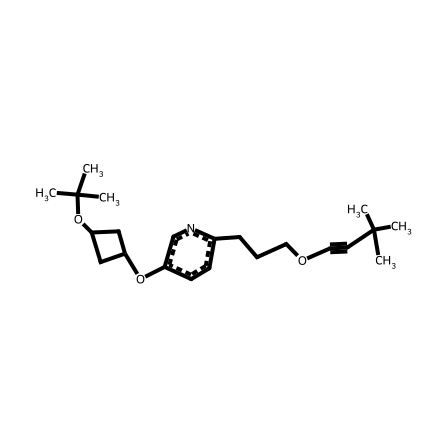 CC(C)(C)C#COCCCc1ccc(OC2CC(OC(C)(C)C)C2)cn1